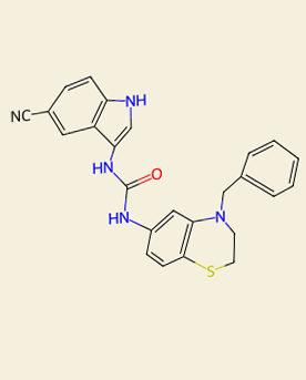 N#Cc1ccc2[nH]cc(NC(=O)Nc3ccc4c(c3)N(Cc3ccccc3)CCS4)c2c1